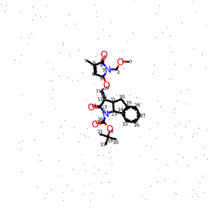 COCN1C(=O)C(C)=CC1O/C=C1/C(=O)N(C(=O)OC(C)(C)C)C2c3ccccc3CC12